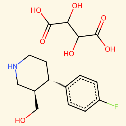 O=C(O)C(O)C(O)C(=O)O.OC[C@H]1CNCC[C@@H]1c1ccc(F)cc1